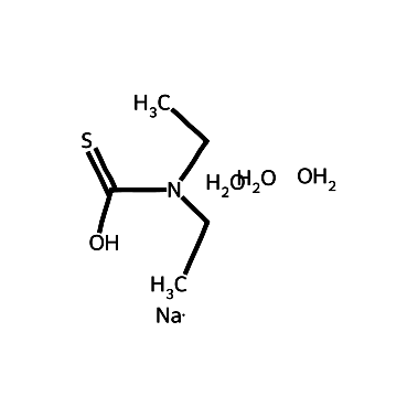 CCN(CC)C(O)=S.O.O.O.[Na]